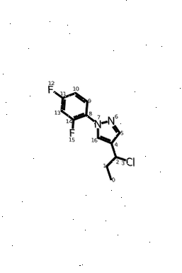 CCC(Cl)c1cnn(-c2ccc(F)cc2F)c1